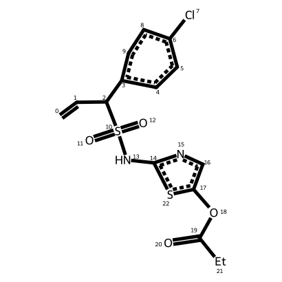 C=CC(c1ccc(Cl)cc1)S(=O)(=O)Nc1ncc(OC(=O)CC)s1